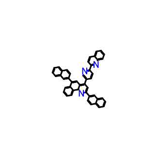 c1ccc2cc(-c3cc(-c4ccc(-c5ccc6ccccc6n5)nc4)c4cc(-c5ccc6ccccc6c5)c5ccccc5c4n3)ccc2c1